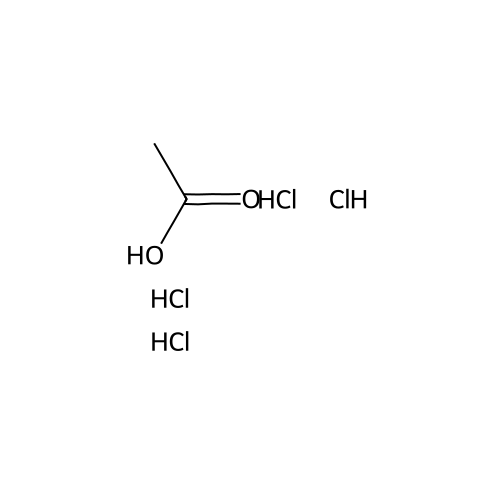 CC(=O)O.Cl.Cl.Cl.Cl